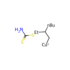 CCCCC(CC)[CH2][Cu+].NC(=S)[S-]